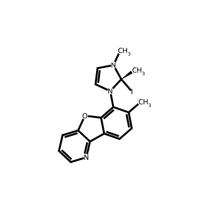 Cc1ccc2c(oc3cccnc32)c1N1C=CN(C)[C@]1(C)I